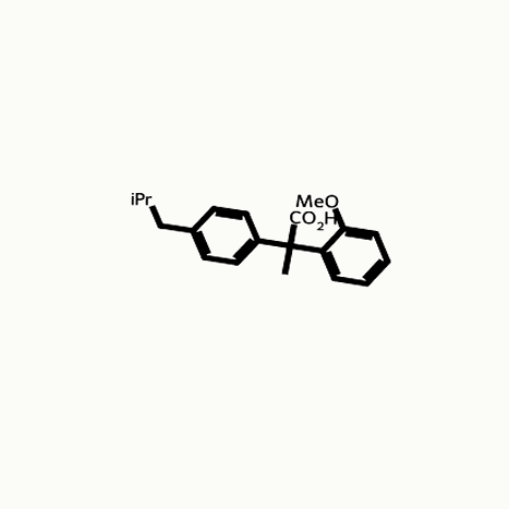 COc1ccccc1C(C)(C(=O)O)c1ccc(CC(C)C)cc1